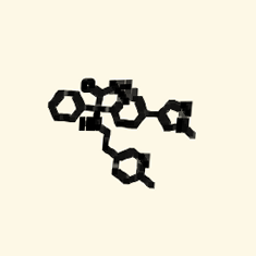 Cc1ccc(CCN[C@](C(N)=O)(c2ccccc2)c2ccc(-c3cnn(C)c3)cn2)cn1